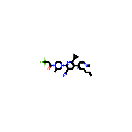 C=CCC/C=C(\C=C/N=C)c1cc(C#N)c(N2CCN(C(=O)CC(F)(F)F)C(C)C2)nc1C1CC1